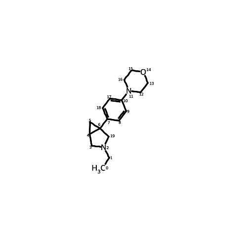 CCN1CC2CC2(c2ccc(N3CCOCC3)cc2)C1